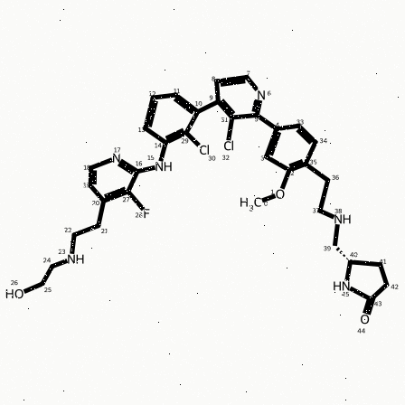 COc1cc(-c2nccc(-c3cccc(Nc4nccc(CCNCCO)c4F)c3Cl)c2Cl)ccc1CCNC[C@@H]1CCC(=O)N1